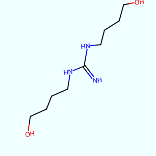 N=C(NCCCCO)NCCCCO